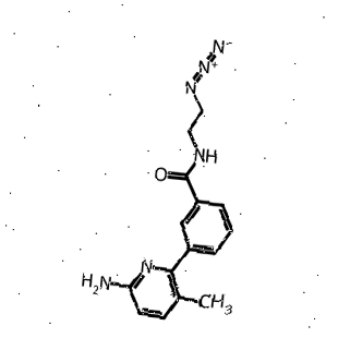 Cc1ccc(N)nc1-c1cccc(C(=O)NCCN=[N+]=[N-])c1